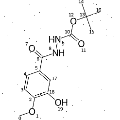 COc1ccc(C(=O)NNC(=O)OC(C)(C)C)cc1O